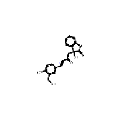 O=C(/C=C/c1ccc(O)c(CO)c1)CC1(O)C(=O)Nc2ccccc21